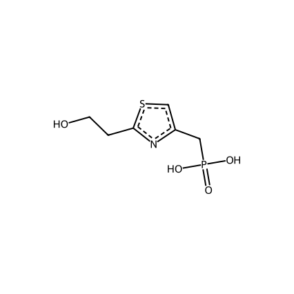 O=P(O)(O)Cc1csc(CCO)n1